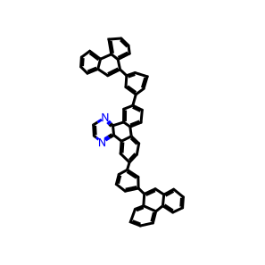 c1cc(-c2ccc3c4ccc(-c5cccc(-c6cc7ccccc7c7ccccc67)c5)cc4c4nccnc4c3c2)cc(-c2cc3ccccc3c3ccccc23)c1